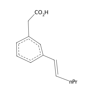 CCCC=Cc1cccc(CC(=O)O)c1